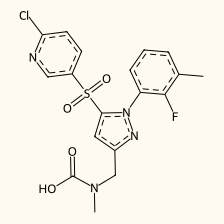 Cc1cccc(-n2nc(CN(C)C(=O)O)cc2S(=O)(=O)c2ccc(Cl)nc2)c1F